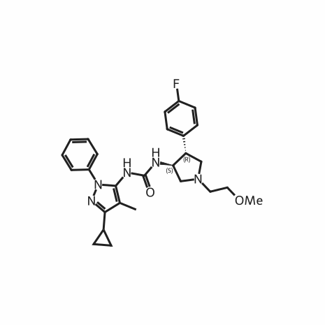 COCCN1C[C@@H](NC(=O)Nc2c(C)c(C3CC3)nn2-c2ccccc2)[C@H](c2ccc(F)cc2)C1